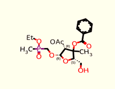 CCOP(C)(=O)CO[C@H]1O[C@@H](CO)C(C)(OC(=O)c2ccccc2)[C@H]1OC(C)=O